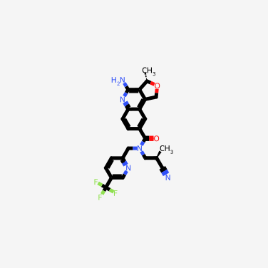 C[C@@H]1OCc2c1c(N)nc1ccc(C(=O)N(Cc3ccc(C(F)(F)F)cn3)C[C@@H](C)C#N)cc21